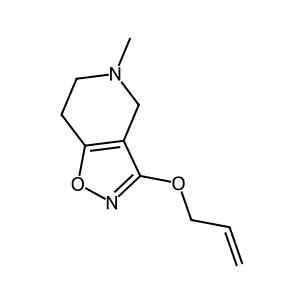 C=CCOc1noc2c1CN(C)CC2